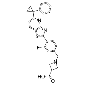 O=C(O)C1CN(Cc2ccc(-c3nc4nc(C5(c6ccccc6)C=C5)ccc4s3)c(F)c2)C1